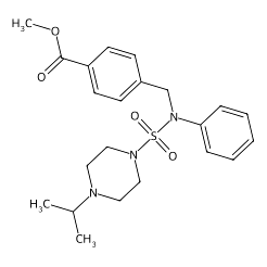 COC(=O)c1ccc(CN(c2ccccc2)S(=O)(=O)N2CCN(C(C)C)CC2)cc1